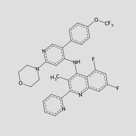 Cc1c(-c2ccccn2)nc2cc(F)cc(F)c2c1Nc1cc(N2CCOCC2)ncc1-c1ccc(OC(F)(F)F)cc1